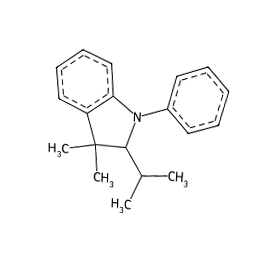 CC(C)C1N(c2ccccc2)c2ccccc2C1(C)C